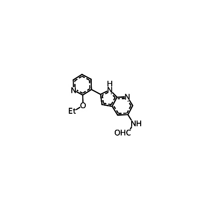 CCOc1ncccc1-c1cc2cc(NC=O)cnc2[nH]1